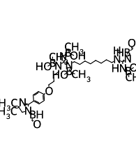 CB(O)/N=C(\N(CCCCCCCCN/C(=N\BC=O)NB(C)O)B(C)O)N(CCCCOc1ccc(C2=NC(C)(C)CN2BC=O)cc1)B(C)O